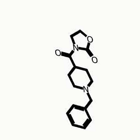 O=C1OCCN1C(=O)C1CCN(Cc2ccccc2)CC1